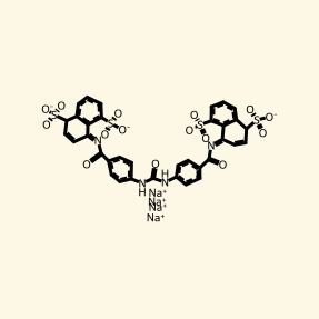 O=C(Nc1ccc(C(=O)N=C2C=CC(S(=O)(=O)[O-])c3cccc(S(=O)(=O)[O-])c32)cc1)Nc1ccc(C(=O)N=C2C=CC(S(=O)(=O)[O-])c3cccc(S(=O)(=O)[O-])c32)cc1.[Na+].[Na+].[Na+].[Na+]